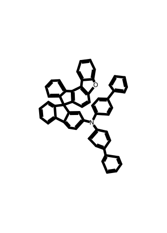 c1ccc(-c2ccc(N(c3ccc(-c4ccccc4)cc3)c3ccc4c(c3)C3(c5ccccc5-4)c4ccccc4-c4c3ccc3oc5ccccc5c43)cc2)cc1